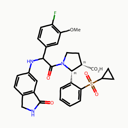 COc1cc(C(Nc2ccc3c(c2)C(=O)NC3)C(=O)N2CC[C@H](C(=O)O)[C@@H]2c2ccccc2S(=O)(=O)C2CC2)ccc1F